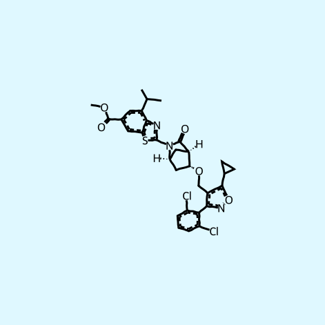 COC(=O)c1cc(C(C)C)c2nc(N3C(=O)[C@@H]4C[C@H]3C[C@H]4OCc3c(-c4c(Cl)cccc4Cl)noc3C3CC3)sc2c1